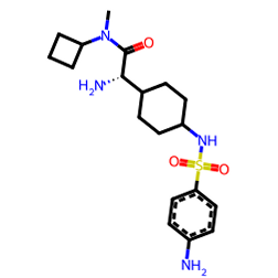 CN(C(=O)[C@@H](N)C1CCC(NS(=O)(=O)c2ccc(N)cc2)CC1)C1CCC1